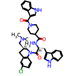 CN(C)C[C@@H]1Cc2cc(Cl)ccc2N(C(=O)[C@@H](Cc2c[nH]c3ccccc23)NC(=O)C2CCN(C(=O)c3c[nH]c4ccccc34)CC2)C1